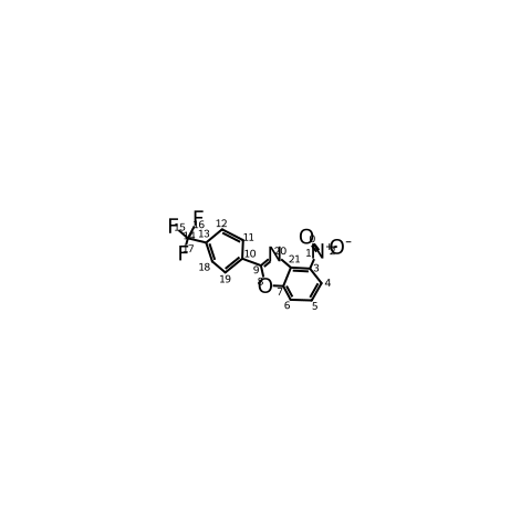 O=[N+]([O-])c1cccc2oc(-c3ccc(C(F)(F)F)cc3)nc12